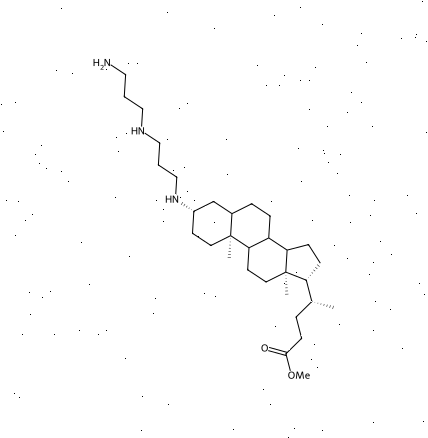 COC(=O)CC[C@@H](C)[C@H]1CCC2C3CCC4C[C@@H](NCCCNCCCN)CC[C@]4(C)C3CC[C@@]21C